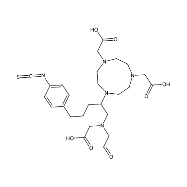 O=CCN(CC(=O)O)CC(CCCc1ccc(N=C=S)cc1)N1CCN(CC(=O)O)CCN(CC(=O)O)CC1